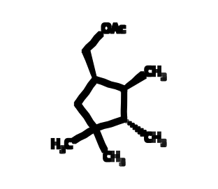 CC(=O)OC[C@@H]1CC(C)(C)[C@@H](C)[C@@H]1C